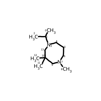 CC(C)N1CCCN(C)CC(C)(C)C1